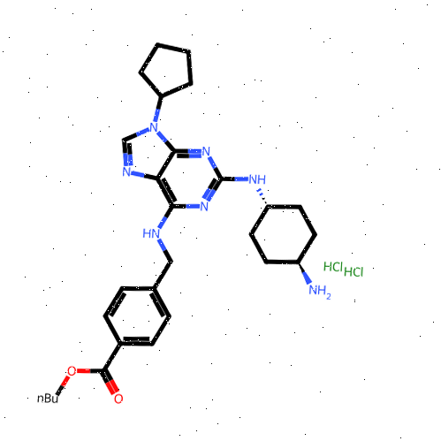 CCCCOC(=O)c1ccc(CNc2nc(N[C@H]3CC[C@H](N)CC3)nc3c2ncn3C2CCCC2)cc1.Cl.Cl